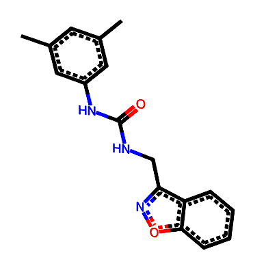 Cc1cc(C)cc(NC(=O)NCc2noc3ccccc23)c1